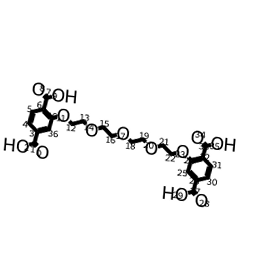 O=C(O)c1ccc(C(=O)O)c(OCCOCCOCCOCCOc2cc(C(=O)O)ccc2C(=O)O)c1